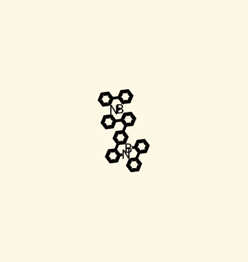 c1ccc2c(c1)B1c3cc(-c4cccc5c4-c4ccccc4N4B5c5ccccc5-c5ccccc54)ccc3-c3ccccc3N1c1ccccc1-2